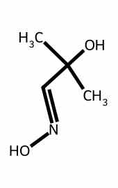 CC(C)(O)C=NO